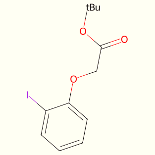 CC(C)(C)OC(=O)COc1ccccc1I